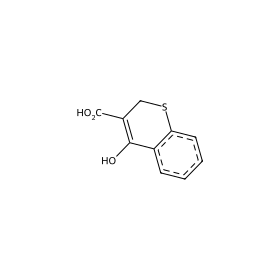 O=C(O)C1=C(O)c2ccccc2SC1